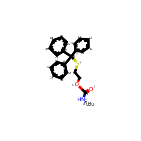 CC(C)(C)NC(=O)OCCSC(c1ccccc1)(c1ccccc1)c1ccccc1